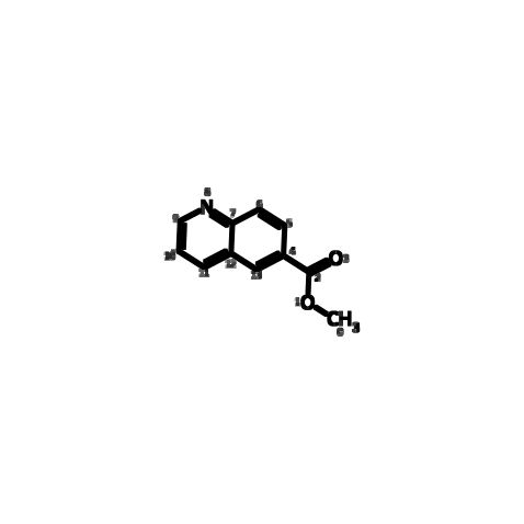 COC(=O)c1ccc2nc[c]cc2c1